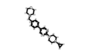 c1cc(-c2cnc(N3CCN(C4CC4)CC3)nc2)ccc1CN1CCOCC1